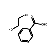 O=CC(=O)c1ccccc1.OCCO